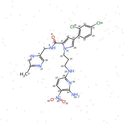 Cc1cnc(CNC(=O)c2cc(-c3ccc(Cl)cc3Cl)cn2CCCNc2ccc([N+](=O)[O-])c(N)n2)cn1